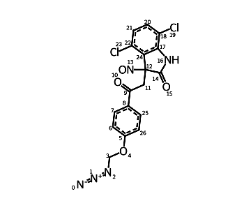 [N-]=[N+]=NCOc1ccc(C(=O)CC2(N=O)C(=O)Nc3c(Cl)ccc(Cl)c32)cc1